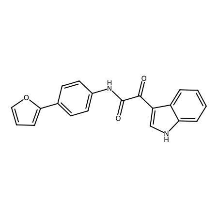 O=C(Nc1ccc(-c2ccco2)cc1)C(=O)c1c[nH]c2ccccc12